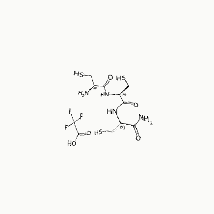 NC(=O)[C@H](CS)NC(=O)[C@H](CS)NC(=O)[C@@H](N)CS.O=C(O)C(F)(F)F